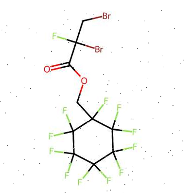 O=C(OCC1(F)C(F)(F)C(F)(F)C(F)(F)C(F)(F)C1(F)F)C(F)(Br)CBr